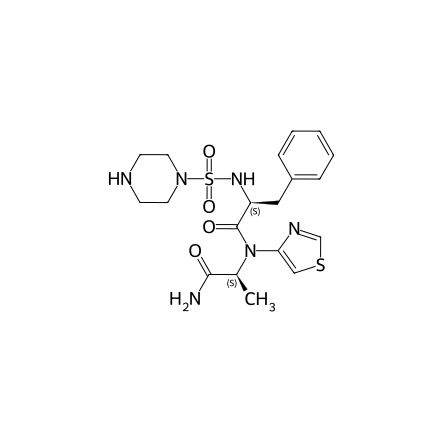 C[C@@H](C(N)=O)N(C(=O)[C@H](Cc1ccccc1)NS(=O)(=O)N1CCNCC1)c1cscn1